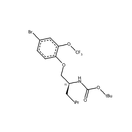 CC(C)C[C@@H](COc1ccc(Br)cc1OC(F)(F)F)NC(=O)OC(C)(C)C